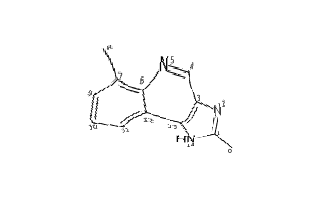 Cc1nc2cnc3c(C)cccc3c2[nH]1